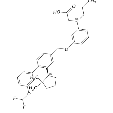 CCC[C@@H](CC(=O)O)c1cccc(OCc2ccc(-c3cccc(OC(F)F)c3)c([C@H]3CCCC3(C)C)c2)c1